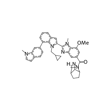 COc1cc(C(=O)N2CC3CCC2C3N)cc2nc(-c3cc4cccc(-c5ccc6ccn(C)c6c5)c4n3CC3CC3)n(C)c12